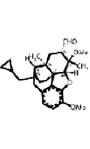 COc1ccc2c3c1O[C@H]1[C@](C)(OC)[C@@H](C=O)C[C@]4(C)[C@@H](C2)[C@H](CC2CC2)CC[C@]314